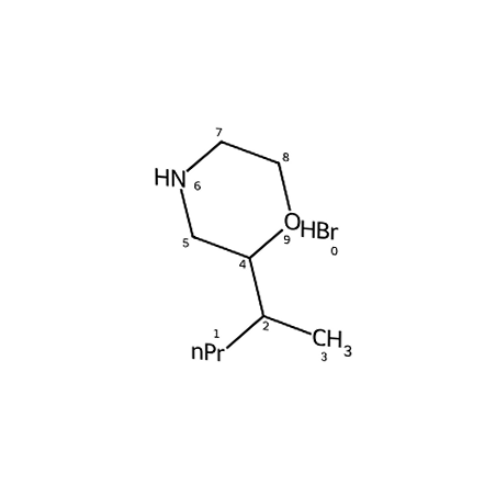 Br.CCCC(C)C1CNCCO1